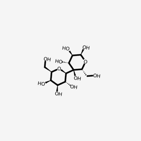 OC[C@H]1O[C@@H]([C@]2(O)[C@H](O)[C@@H](O)[C@@H](O)O[C@@H]2CO)[C@H](O)[C@@H](O)[C@H]1O